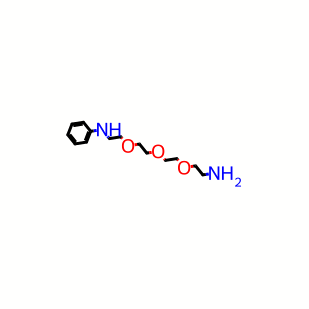 NCCOCCOCCOCCNc1ccccc1